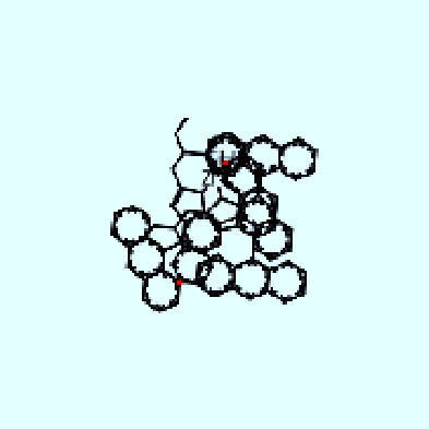 CCC(CC1=Cc2c(-c3c4ccccc4cc4ccccc34)ccc(-c3c4ccccc4cc4ccccc34)c2[CH]1[Zr]([CH3])([CH3])(=[SiH2])[CH]1C(CC(CC)c2ccccc2)=Cc2c(-c3c4ccccc4cc4ccccc34)ccc(-c3c4ccccc4cc4ccccc34)c21)c1ccccc1